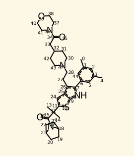 Cc1cc(C)cc(-c2[nH]c3sc(C(C)(C)C(=O)N4C5CCC4CC5)cc3c2CCN2CCC(CC(=O)N3CCOCC3)CC2)c1